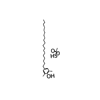 CC(=O)OS.CCCCCCCCCCCCCCCCCCCc1cc(C)c(O)c(C)c1